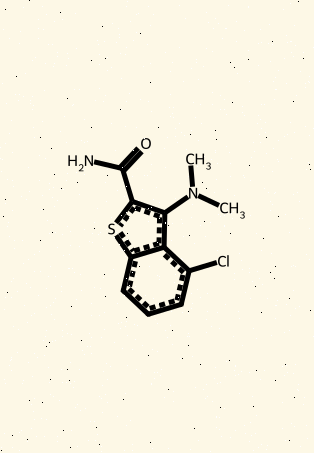 CN(C)c1c(C(N)=O)sc2cccc(Cl)c12